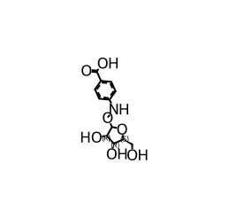 O=C(O)c1ccc(NOC2O[C@@H](CO)[C@H](O)[C@H]2O)cc1